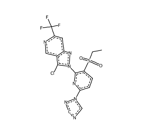 CCS(=O)(=O)c1ccc(-n2cncn2)nc1-n1nc2cc(C(F)(F)F)ncc2c1Cl